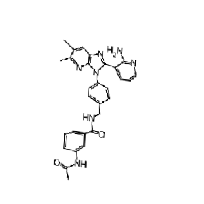 CC(=O)Nc1cccc(C(=O)NCc2ccc(-n3c(-c4cccnc4N)nc4cc(C)c(C)nc43)cc2)c1